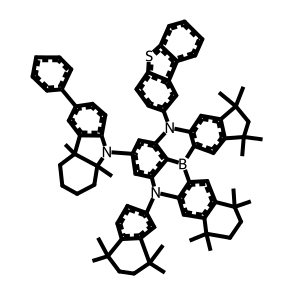 CC1(C)CCC(C)(C)c2cc(N3c4cc5c(cc4B4c6cc7c(cc6N(c6ccc8sc9ccccc9c8c6)c6cc(N8c9ccc(-c%10ccccc%10)cc9C9(C)CCCCC89C)cc3c64)C(C)(C)CC7(C)C)C(C)(C)CCC5(C)C)ccc21